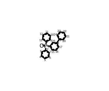 O=P(c1ccccc1)(c1ccccc1)c1cccc(-c2ccccc2)c1